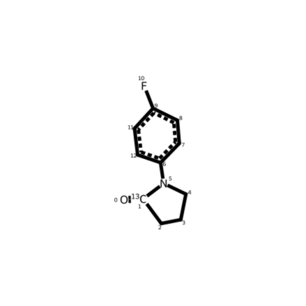 O=[13C]1CCCN1c1ccc(F)cc1